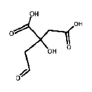 O=CCC(O)(CC(=O)O)C(=O)O